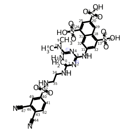 C=C(/N=C(\N=C(/N)N(C)C)Nc1cc(S(=O)(=O)O)c2cc(S(=O)(=O)O)cc(S(=O)(=O)O)c2c1)NCCNS(=O)(=O)c1ccc(C#N)c(C#N)c1